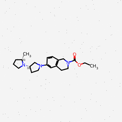 CCOC(=O)N1CCc2cc(N3CC[C@H](N4CCC[C@@H]4C)C3)ccc2C1